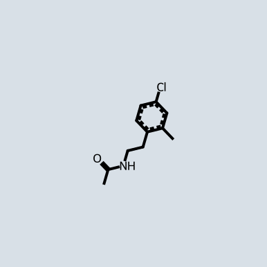 CC(=O)NCCc1ccc(Cl)cc1C